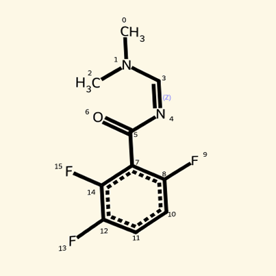 CN(C)/C=N\C(=O)c1c(F)ccc(F)c1F